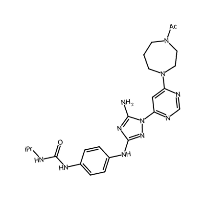 CC(=O)N1CCCN(c2cc(-n3nc(Nc4ccc(NC(=O)NC(C)C)cc4)nc3N)ncn2)CC1